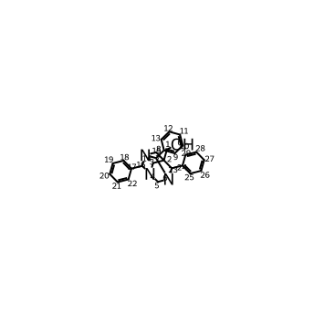 OCC12CN3CN(C(c4ccccc4)N(C1)C3c1ccccc1)C2c1ccccc1